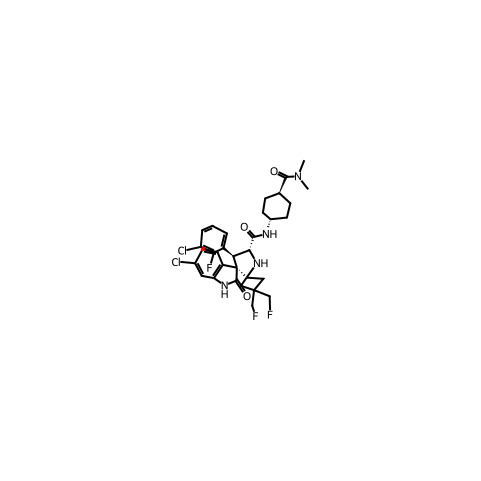 CN(C)C(=O)[C@H]1CC[C@H](NC(=O)[C@@H]2NC3(CC(CF)(CF)C3)[C@@]3(C(=O)Nc4cc(Cl)ccc43)[C@H]2c2cccc(Cl)c2F)CC1